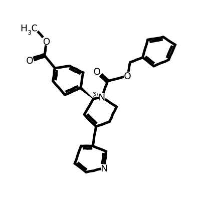 COC(=O)c1ccc([C@@H]2C=C(c3cccnc3)CCN2C(=O)OCc2ccccc2)cc1